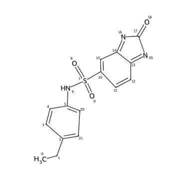 CCc1ccc(NS(=O)(=O)c2ccc3c(c2)=NC(=O)N=3)cc1